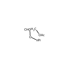 CCCOC=O.COC(C)=O